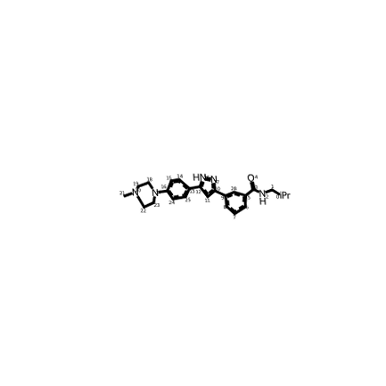 CC(C)CNC(=O)c1cccc(-c2cc(-c3ccc(N4CCN(C)CC4)cc3)[nH]n2)c1